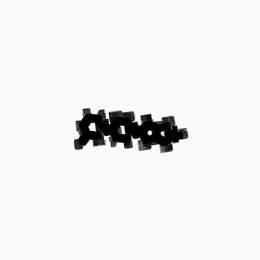 CC1CCCN(C2CCN(C3CC4CN(C)CC4C3)CC2)C1